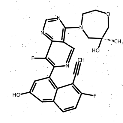 C#Cc1c(F)ccc2cc(O)cc(-c3ncc4c(N5CCOC[C@@](C)(O)C5)ncnc4c3F)c12